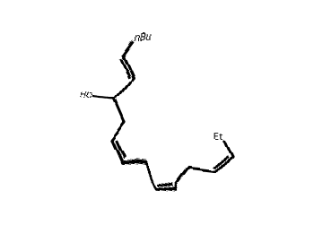 CC/C=C\C/C=C\C/C=C\CC(O)/C=C/CCCC